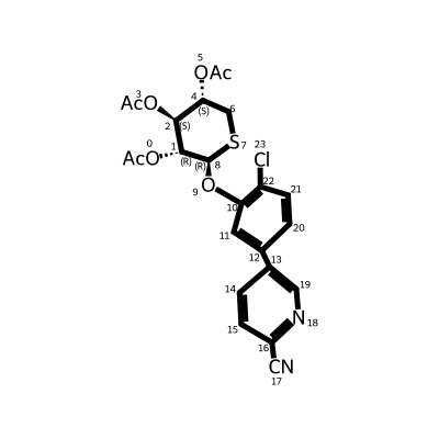 CC(=O)O[C@@H]1[C@@H](OC(C)=O)[C@H](OC(C)=O)CS[C@H]1Oc1cc(-c2ccc(C#N)nc2)ccc1Cl